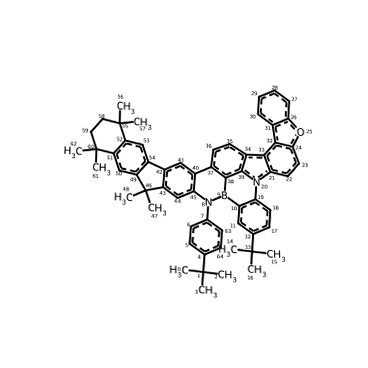 CC(C)(C)c1ccc(N2B3c4cc(C(C)(C)C)ccc4-n4c5ccc6oc7ccccc7c6c5c5ccc(c3c54)-c3cc4c(cc32)C(C)(C)c2cc3c(cc2-4)C(C)(C)CCC3(C)C)cc1